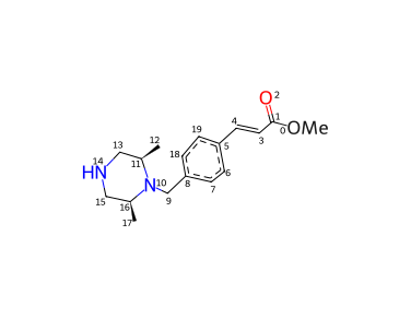 COC(=O)C=Cc1ccc(CN2[C@H](C)CNC[C@@H]2C)cc1